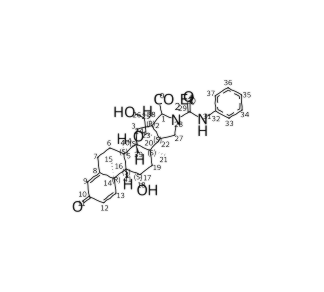 CCOC(=O)C1[C@@H]2C[C@H]3[C@@H]4CCC5=CC(=O)C=C[C@]5(C)[C@H]4[C@@H](O)C[C@]3(C)[C@]2(C(=O)CO)CN1C(=O)Nc1ccccc1